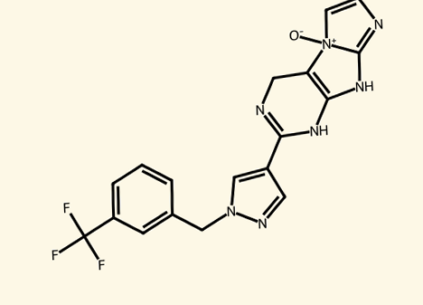 [O-][N+]12C=CN=C1NC1=C2CN=C(c2cnn(Cc3cccc(C(F)(F)F)c3)c2)N1